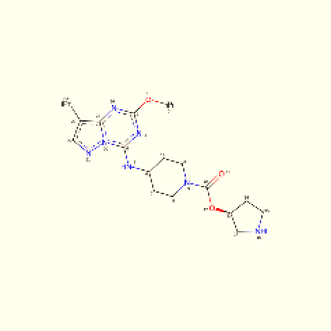 CC(C)Oc1nc(NC2CCN(C(=O)O[C@H]3CCNC3)CC2)n2ncc(C(C)C)c2n1